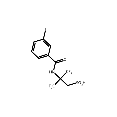 O=C(NC(CS(=O)(=O)O)(C(F)(F)F)C(F)(F)F)c1cccc(I)c1